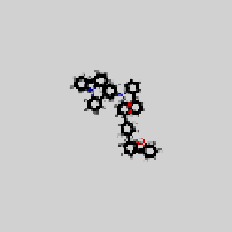 c1ccc(-c2ccccc2N(c2ccc(-c3ccc(-c4cccc5c4oc4ccccc45)cc3)cc2)c2cccc(-c3ccccc3-n3c4ccccc4c4ccccc43)c2)cc1